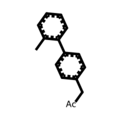 CC(=O)Cc1ccc(-c2ccccc2C)cc1